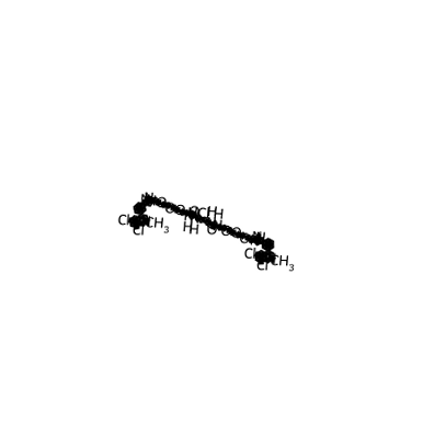 CN1Cc2c(Cl)cc(Cl)cc2[C@H](c2cccc(-c3cn(CCOCCOCCOCCNC(=O)NCCCCNC(=O)NCCOCCOCCOCCn4cc(-c5cccc([C@@H]6CN(C)Cc7c(Cl)cc(Cl)cc76)c5)nn4)nn3)c2)C1.Cl